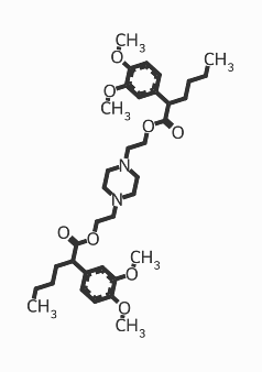 CCCCC(C(=O)OCCN1CCN(CCOC(=O)C(CCCC)c2ccc(OC)c(OC)c2)CC1)c1ccc(OC)c(OC)c1